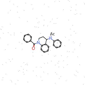 CC(=O)N(c1ccccc1)C1CCN(C(=O)c2ccccc2)c2ccccc21